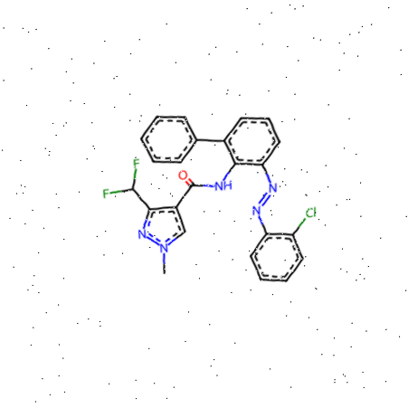 Cn1cc(C(=O)Nc2c(N=Nc3ccccc3Cl)cccc2-c2ccccc2)c(C(F)F)n1